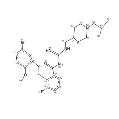 COc1ccc(Br)cc1CCc1c(F)cccc1C(=O)NC(=N)NCC1CCN(CC(C)C)CC1